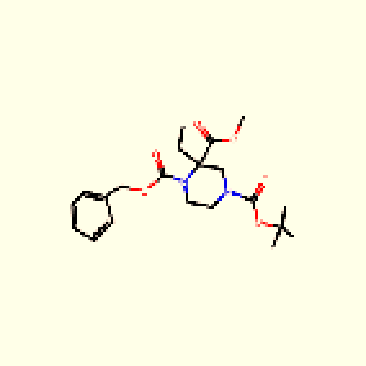 CCC1(C(=O)OC)CN(C(=O)OC(C)(C)C)CCN1C(=O)OCc1ccccc1